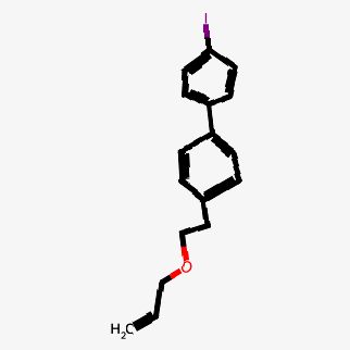 C=CCOCCc1ccc(-c2ccc(I)cc2)cc1